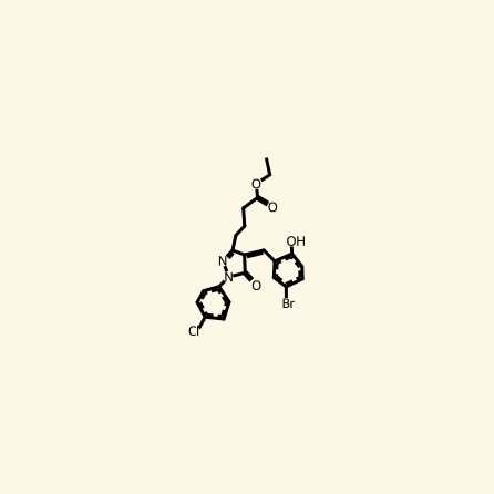 CCOC(=O)CCCC1=NN(c2ccc(Cl)cc2)C(=O)C1=Cc1cc(Br)ccc1O